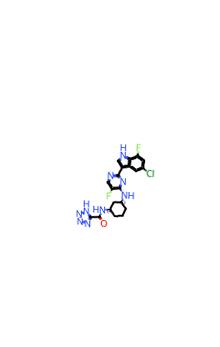 O=C(N[C@@H]1CCC[C@H](Nc2nc(-c3c[nH]c4c(F)cc(Cl)cc34)ncc2F)C1)c1nnn[nH]1